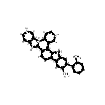 Cc1ccccc1-c1cc2[nH]c3c(ccc4c3c3cnccc3n3c5cnccc5nc43)c2cc1C